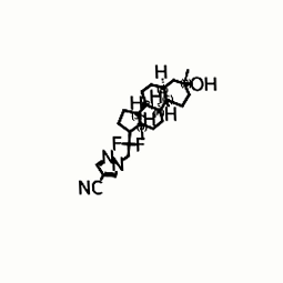 C[C@@]1(O)CC[C@H]2[C@@H](CC[C@@H]3[C@@H]2CC[C@]2(C)C(C(F)(F)Cn4cc(C#N)cn4)CC[C@@H]32)C1